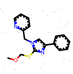 COCSc1nc(-c2ccccc2)cn1Cc1ccccn1